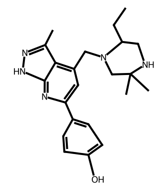 CCC1CNC(C)(C)CN1Cc1cc(-c2ccc(O)cc2)nc2[nH]nc(C)c12